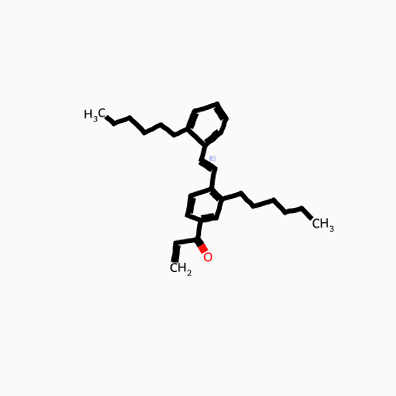 C=CC(=O)c1ccc(/C=C/c2ccccc2CCCCCC)c(CCCCCC)c1